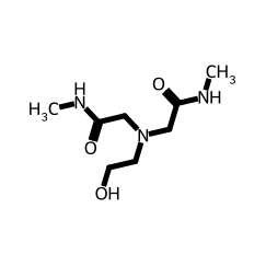 CNC(=O)CN(CCO)CC(=O)NC